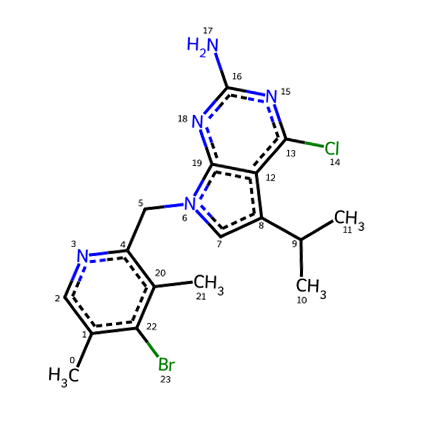 Cc1cnc(Cn2cc(C(C)C)c3c(Cl)nc(N)nc32)c(C)c1Br